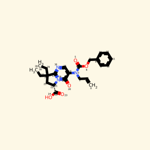 C=CCN(C(=O)OCc1ccccc1)c1cnc2n(c1=O)[C@H](C(=O)O)CC2(CC)CC